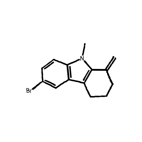 C=C1CCCc2c1n(C)c1ccc(Br)cc21